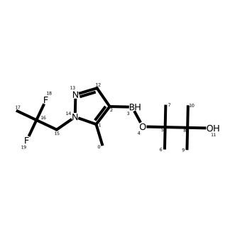 Cc1c(BOC(C)(C)C(C)(C)O)cnn1CC(C)(F)F